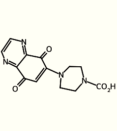 O=C1C=C(N2CCN(C(=O)O)CC2)C(=O)c2nccnc21